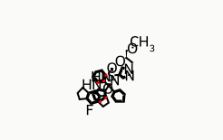 COC[C@H]1Cn2ncc(S(=O)(=NC(c3ccccc3)(c3ccccc3)c3ccccc3)NC(=O)Nc3c4c(c(F)c5c3CCC5)CCC4)c2O1